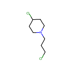 ClCCCN1CCC(Cl)CC1